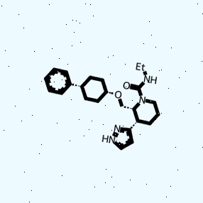 CCNC(=O)N1CCC[C@H](c2cc[nH]n2)[C@@H]1CO[C@H]1CC[C@@H](c2ccccc2)CC1